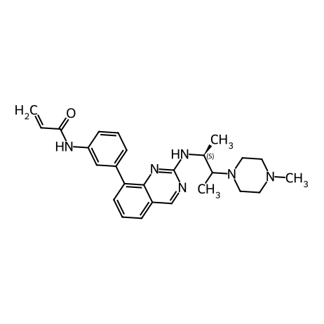 C=CC(=O)Nc1cccc(-c2cccc3cnc(N[C@@H](C)C(C)N4CCN(C)CC4)nc23)c1